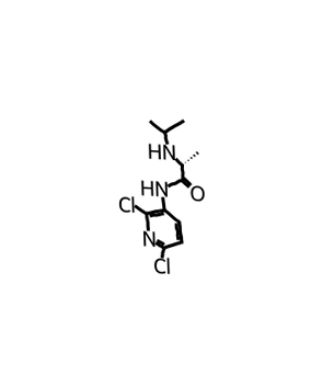 CC(C)N[C@H](C)C(=O)Nc1ccc(Cl)nc1Cl